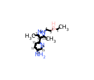 CCBCCn1nc(C)c(-c2ccc(N)cn2)c1C